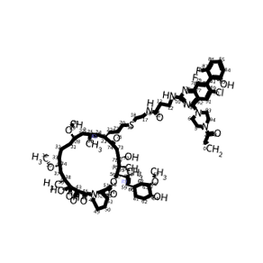 C=CC(=O)N1CCN(c2nc(NCCC(=O)NCCSCCC[C@@H]3/C=C(\C)C[C@H](OC)CCC[C@@H](OC)C[C@@H](C)C(O)(O)C(=O)C(=O)N4CCCC[C@H]4C(=O)O[C@H](/C(C)=C/[C@@H]4CC[C@@H](O)[C@H](OC)C4)[C@H](C)[C@@H](O)CC3=O)nc3c(F)c(-c4c(O)cccc4F)c(Cl)cc23)CC1